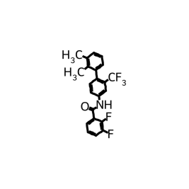 Cc1cccc(-c2ccc(NC(=O)c3cccc(F)c3F)cc2C(F)(F)F)c1C